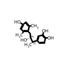 Cc1cc(O)cc(C)c1C[C@@H](O)[C@@H](C)c1ccc(O)c(O)c1